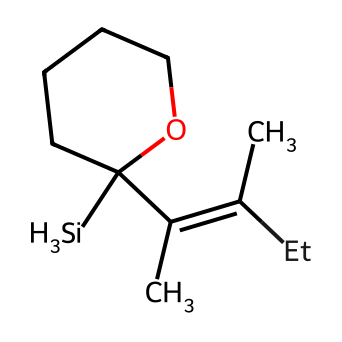 CCC(C)=C(C)C1([SiH3])CCCCO1